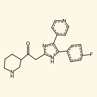 O=C(Cc1nc(-c2ccncc2)c(-c2ccc(F)cc2)[nH]1)C1CCCNC1